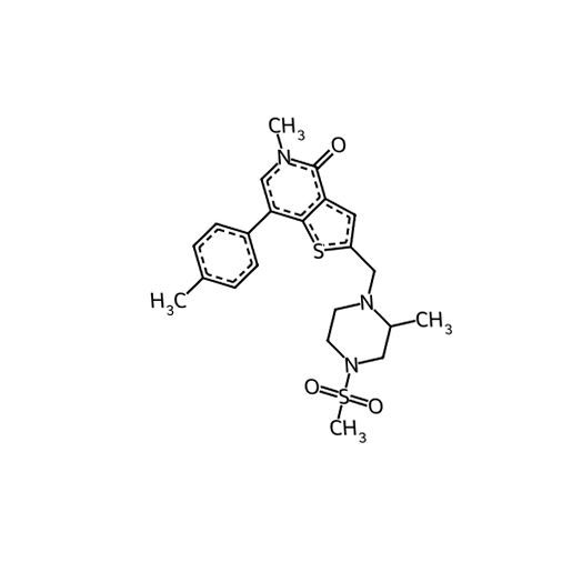 Cc1ccc(-c2cn(C)c(=O)c3cc(CN4CCN(S(C)(=O)=O)CC4C)sc23)cc1